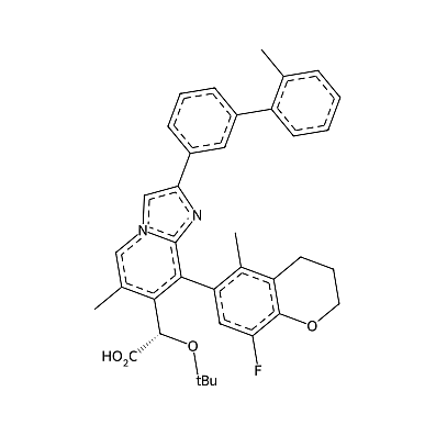 Cc1ccccc1-c1cccc(-c2cn3cc(C)c([C@H](OC(C)(C)C)C(=O)O)c(-c4cc(F)c5c(c4C)CCCO5)c3n2)c1